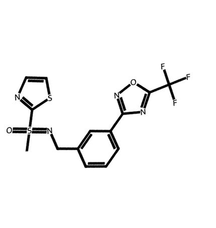 CS(=O)(=NCc1cccc(-c2noc(C(F)(F)F)n2)c1)c1nccs1